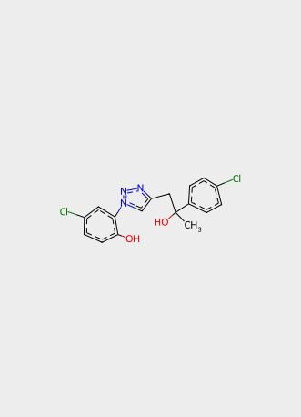 CC(O)(Cc1cn(-c2cc(Cl)ccc2O)nn1)c1ccc(Cl)cc1